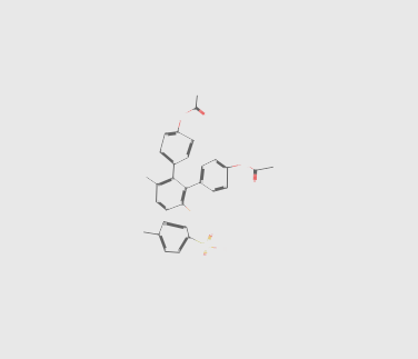 CC(=O)Oc1ccc(-c2c(C)ccc(P)c2-c2ccc(OC(C)=O)cc2)cc1.Cc1ccc(S(=O)(=O)O)cc1